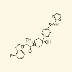 C[C@H](C(=O)N1CCC(O)(c2ccc(SNc3nccs3)cc2)CC1)n1ccc2c(F)cccc21